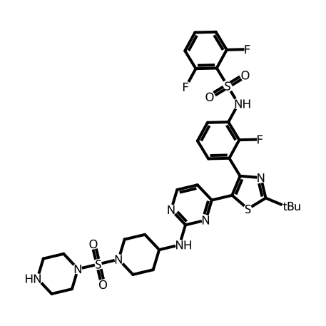 CC(C)(C)c1nc(-c2cccc(NS(=O)(=O)c3c(F)cccc3F)c2F)c(-c2ccnc(NC3CCN(S(=O)(=O)N4CCNCC4)CC3)n2)s1